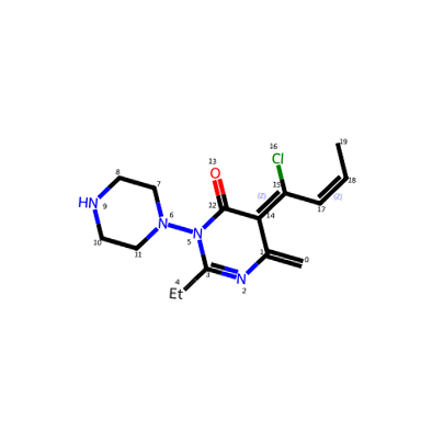 C=c1nc(CC)n(N2CCNCC2)c(=O)/c1=C(Cl)/C=C\C